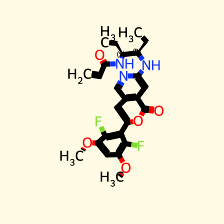 C=CC(=O)N[C@@H](CC)[C@@H](CC)Nc1cc2c(=O)oc(-c3c(F)c(OC)cc(OC)c3F)cc2cn1